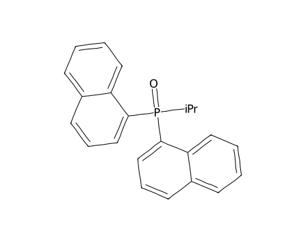 CC(C)P(=O)(c1cccc2ccccc12)c1cccc2ccccc12